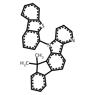 CC1(C)c2ccccc2-c2ccc3c4ncccc4n(-c4cccc5c4sc4ccccc45)c3c21